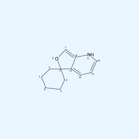 [CH]1CCC2(CC1)OC=C1NC=CC=C12